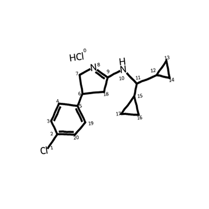 Cl.Clc1ccc(C2CN=C(NC(C3CC3)C3CC3)C2)cc1